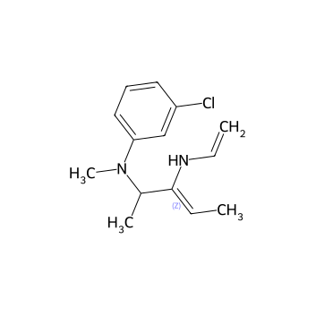 C=CN/C(=C\C)C(C)N(C)c1cccc(Cl)c1